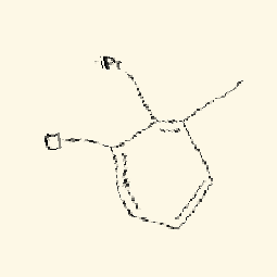 C[C](C)c1c(C)cccc1Cl